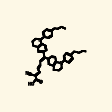 CCCCc1ccc(N2CCCc3cc(C(=C/C=C/C=C(\C#N)C(=O)O)c4ccc5c(c4)CCCN5c4ccc(CCCC)cc4)ccc32)cc1